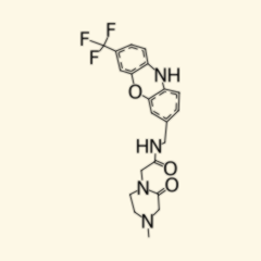 CN1CCN(CC(=O)NCc2ccc3c(c2)Oc2cc(C(F)(F)F)ccc2N3)C(=O)C1